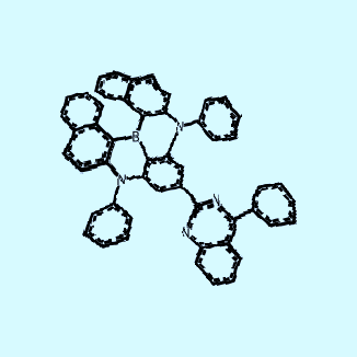 c1ccc(-c2nc(-c3cc4c5c(c3)N(c3ccccc3)c3ccc6ccccc6c3B5c3c(ccc5ccccc35)N4c3ccccc3)nc3ccccc23)cc1